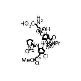 CC(C)N1C(=O)c2ccccc2NS1(=O)=O.COC(=O)CSc1cc(/N=c2\sc(=O)n3n2CCCC3)c(F)cc1Cl.CP(=O)(O)CCC(N)C(=O)O